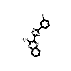 Nc1nc2ccccc2nc1-c1nnc(-c2cccc(F)c2)o1